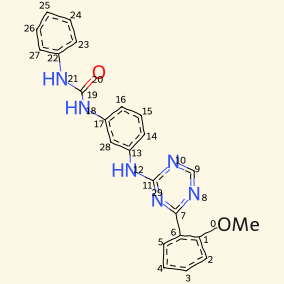 COc1ccccc1-c1ncnc(Nc2cccc(NC(=O)Nc3ccccc3)c2)n1